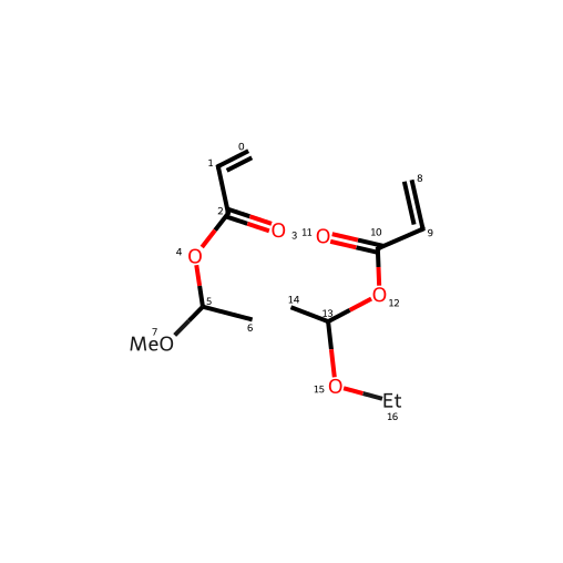 C=CC(=O)OC(C)OC.C=CC(=O)OC(C)OCC